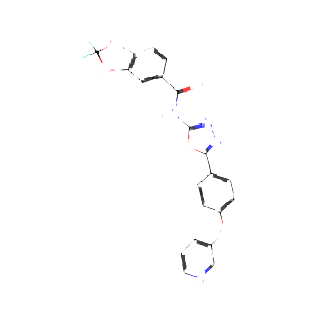 O=C(Nc1nnc(-c2ccc(Oc3cccnc3)cc2)o1)c1ccc2c(c1)OC(F)(F)O2